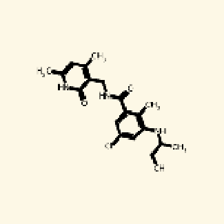 Cc1cc(C)c(CNC(=O)c2cc(Cl)cc(NC(C)CO)c2C)c(=O)[nH]1